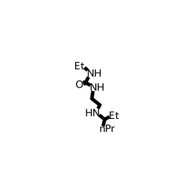 CCCC(CC)NCCNC(=O)NCC